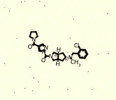 CN(Cc1ccccc1Cl)[C@@H]1C[C@@H]2CN(C(=O)n3cc(C(=O)N4CCCC4)cn3)C[C@@H]2C1